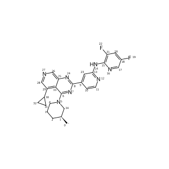 [CH2][C@H]1CCCN(c2nc(-c3ccnc(Nc4ncc(F)cc4F)c3)nc3cncc(C4CC4)c23)C1